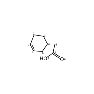 C1=CCCCC1.CC(=O)O